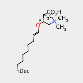 CCCCCCCCCCCCCCCCC=CO[C@H](CC(=O)O)C[N+](C)(C)C